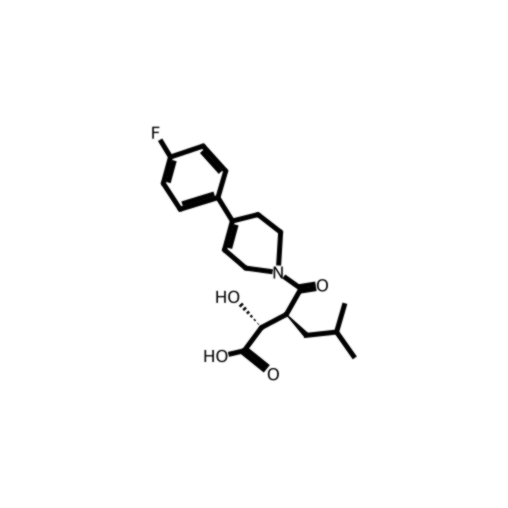 CC(C)C[C@H](C(=O)N1CC=C(c2ccc(F)cc2)CC1)[C@@H](O)C(=O)O